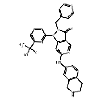 CC(C)(O)c1cccc(-n2c3nc(Nc4ccc5c(c4)CNCC5)ncc3c(=O)n2Cc2ccncc2)n1